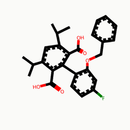 CC(C)c1cc(C(C)C)c(C(=O)O)c(-c2ccc(F)cc2OCc2ccccc2)c1C(=O)O